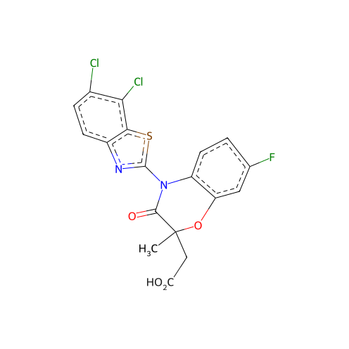 CC1(CC(=O)O)Oc2cc(F)ccc2N(c2nc3ccc(Cl)c(Cl)c3s2)C1=O